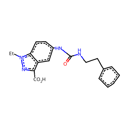 CCn1nc(C(=O)O)c2cc(NC(=O)NCCc3ccccc3)ccc21